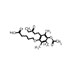 CCC(=O)CCc1c(C)c(OC(C)=O)c(C)c(C)c1OCCCCC(=O)O